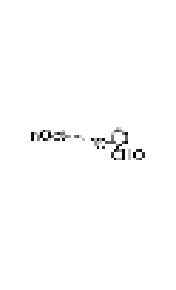 CCCCCCCCCCCCOc1ccccc1C=O